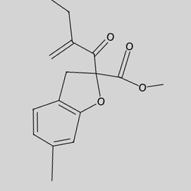 C=C(CC)C(=O)C1(C(=O)OC)Cc2ccc(C)cc2O1